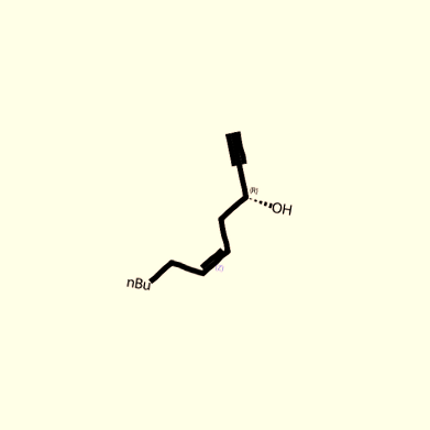 C#C[C@H](O)C/C=C\CCCCC